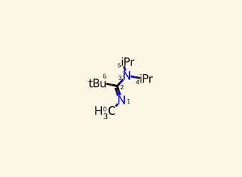 CN=C(N(C(C)C)C(C)C)C(C)(C)C